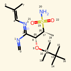 C=N/C(=N\C=C(C)C)[C@@H](O[Si](C)(C)C(C)(C)C)[C@@H](C)S(N)(=O)=O